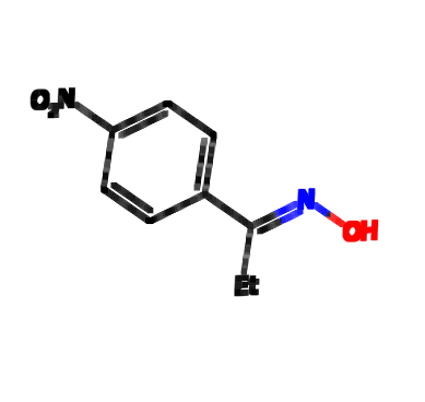 CCC(=NO)c1ccc([N+](=O)[O-])cc1